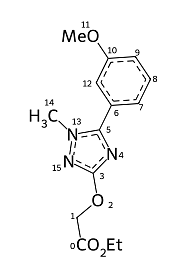 CCOC(=O)COc1nc(-c2cccc(OC)c2)n(C)n1